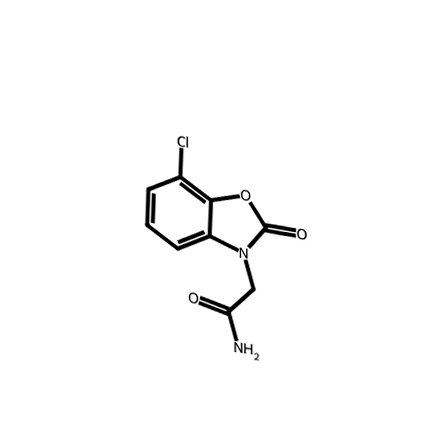 NC(=O)Cn1c(=O)oc2c(Cl)cccc21